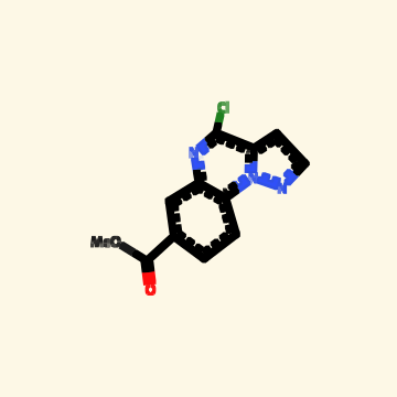 COC(=O)c1ccc2c(c1)nc(Cl)c1ccnn12